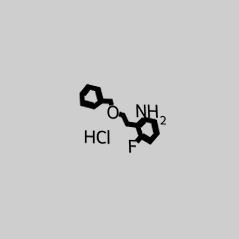 Cl.Nc1cccc(F)c1CCOCc1ccccc1